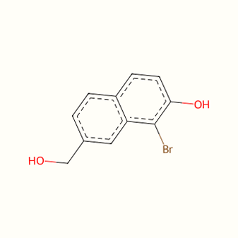 OCc1ccc2ccc(O)c(Br)c2c1